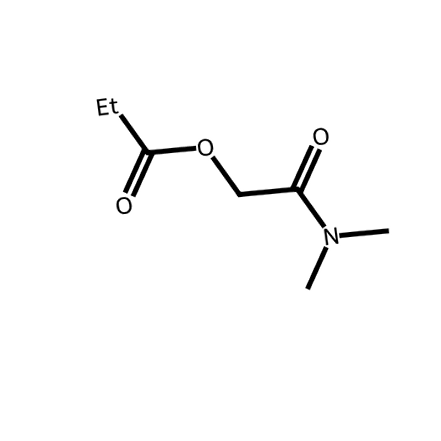 [CH2]CC(=O)OCC(=O)N(C)C